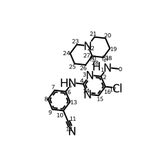 CN(c1nc(Nc2cccc(C#N)c2)ncc1Cl)[C@H]1CCCN2CCCC[C@H]12